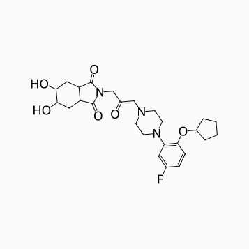 O=C(CN1CCN(c2cc(F)ccc2OC2CCCC2)CC1)CN1C(=O)C2CC(O)C(O)CC2C1=O